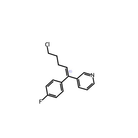 Fc1ccc(/C(=C\CCCCl)c2cccnc2)cc1